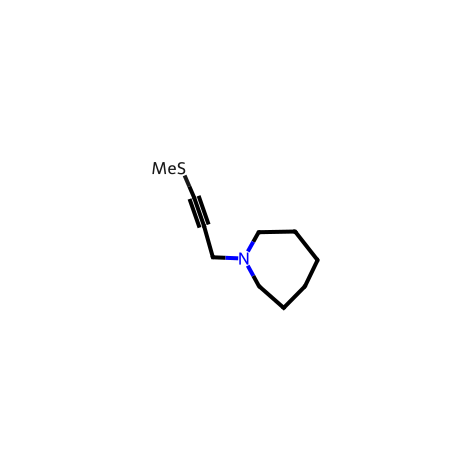 CSC#CCN1CCCCCC1